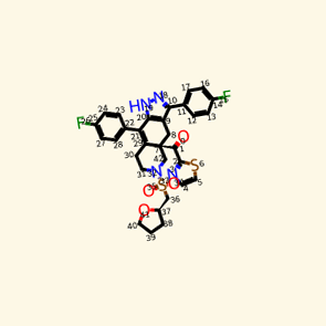 O=C(c1nccs1)[C@]12Cc3c(-c4ccc(F)cc4)n[nH]c3C(c3ccc(F)cc3)=C1CCN(S(=O)(=O)C[C@H]1CCCO1)C2